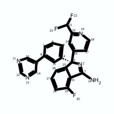 NC1=N[C@](c2cccc(-c3cncnc3)c2)(c2ccnc(C(F)F)c2)c2cccc(F)c21